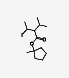 CC(C)C(C(=O)OC1(C)CCCC1)C(C)I